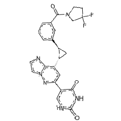 O=C(c1cccc([C@H]2C[C@@H]2c2cc(-c3c[nH]c(=O)[nH]c3=O)nn3ccnc23)c1)N1CCC(F)(F)C1